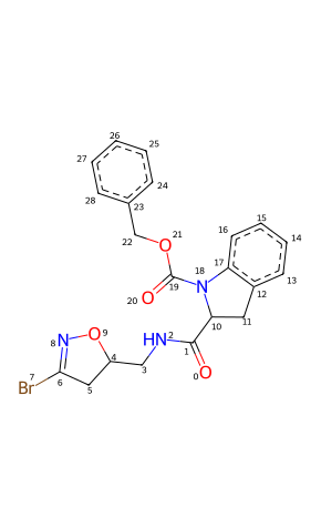 O=C(NCC1CC(Br)=NO1)C1Cc2ccccc2N1C(=O)OCc1ccccc1